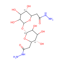 NNC(=O)CC1OC(O[C@H]2OC(CC(=O)NN)[C@@H](O)C(O)C2O)C(O)C(O)[C@@H]1O